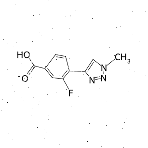 Cn1cc(-c2ccc(C(=O)O)cc2F)nn1